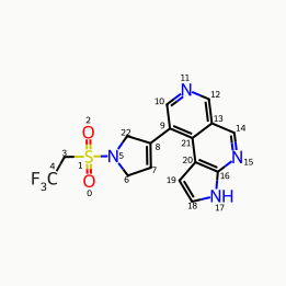 O=S(=O)(CC(F)(F)F)N1CC=C(c2cncc3cnc4[nH]ccc4c23)C1